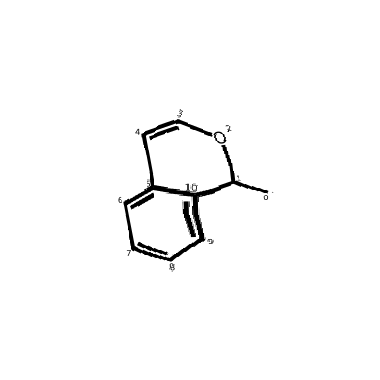 [CH2]C1OC=Cc2ccccc21